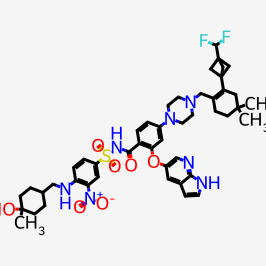 CC1(C)CCC(CN2CCN(c3ccc(C(=O)NS(=O)(=O)c4ccc(NCC5CCC(C)(O)CC5)c([N+](=O)[O-])c4)c(Oc4cnc5[nH]ccc5c4)c3)CC2)=C(C23CC(C(F)F)(C2)C3)C1